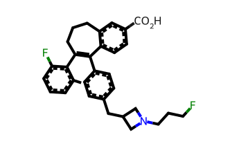 Cc1cccc(F)c1C1=C(c2ccc(CC3CN(CCCF)C3)cc2)c2ccc(C(=O)O)cc2CCC1